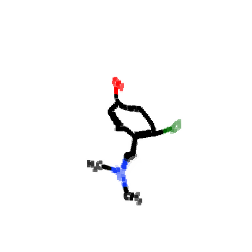 CN(C)Cc1ccc(O)cc1Cl